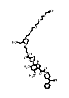 C#CCOCCOCCOCCOCCN1CCN(CCCNC(=O)c2ncn(C3=c4[nH]cc(C(=O)C(=O)N5CCC(=C(C#N)c6ccccc6)CC5)c4=C(OC)CC3=C)n2)C(CCO)C1